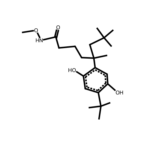 CONC(=O)CCCC(C)(CC(C)(C)C)c1cc(O)c(C(C)(C)C)cc1O